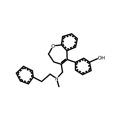 CN(CCc1ccccc1)CC1=C(c2cccc(O)c2)c2ccccc2OCC1